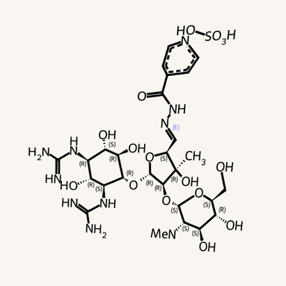 CN[C@@H]1[C@H](O[C@H]2[C@H](O[C@H]3[C@H](O)[C@@H](O)[C@H](NC(=N)N)[C@@H](O)[C@@H]3NC(=N)N)O[C@@H](/C=N/NC(=O)c3ccncc3)[C@@]2(C)O)O[C@@H](CO)[C@H](O)[C@H]1O.O=S(=O)(O)O